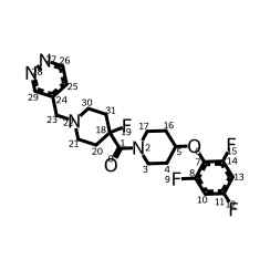 O=C(N1CCC(Oc2c(F)cc(F)cc2F)CC1)C1(F)CCN(Cc2ccnnc2)CC1